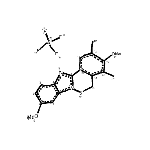 COc1ccc2nc3n(c2c1)SCc1c(C)c(OC)c(C)c[n+]1-3.F[B-](F)(F)F